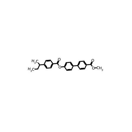 CCC(C)c1ccc(C(=O)Oc2ccc(-c3ccc(C(=O)OC)cc3)cc2)cc1